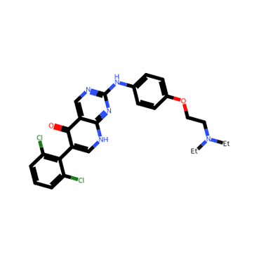 CCN(CC)CCOc1ccc(Nc2ncc3c(=O)c(-c4c(Cl)cccc4Cl)c[nH]c3n2)cc1